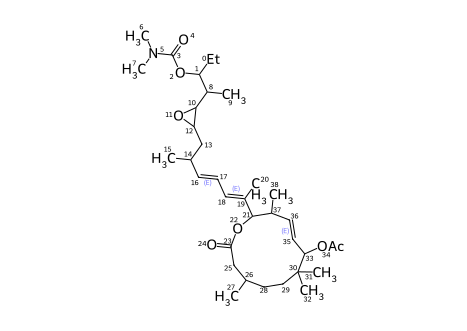 CCC(OC(=O)N(C)C)C(C)C1OC1CC(C)/C=C/C=C(\C)C1OC(=O)CC(C)CCC(C)(C)C(OC(C)=O)/C=C/C1C